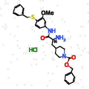 COc1cc(NC(=O)[C@@H](N)CC2CCN(C(=O)OCc3ccccc3)CC2)ccc1SCc1ccccc1.Cl